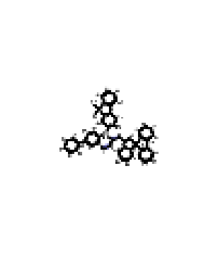 C/C=C\C(=C/C=CC1(c2ccccc2)c2ccccc2-c2ccccc21)N(c1ccc(-c2ccccc2)cc1)c1ccc2c(c1)C(C)(C)c1ccccc1-2